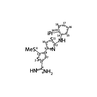 CSc1sc(C(=N)N)cc1-c1csc(Nc2ccccc2C(C)C)n1